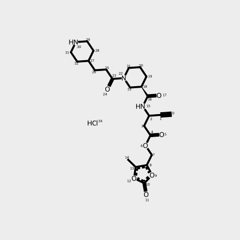 C#CC(CC(=O)OCc1oc(=O)oc1C)NC(=O)[C@@H]1CCCN(C(=O)CCC2CCNCC2)C1.Cl